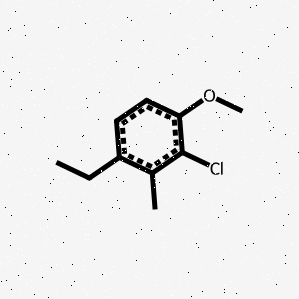 CCc1ccc(OC)c(Cl)c1C